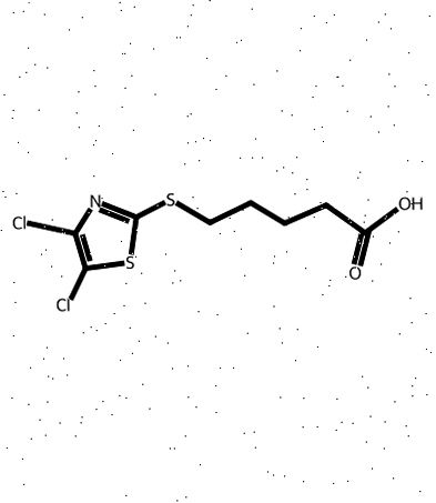 O=C(O)CCCCSc1nc(Cl)c(Cl)s1